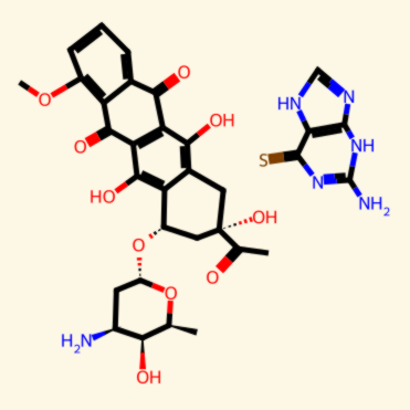 COc1cccc2c1C(=O)c1c(O)c3c(c(O)c1C2=O)C[C@@](O)(C(C)=O)C[C@@H]3O[C@H]1C[C@H](N)[C@H](O)[C@H](C)O1.Nc1nc(=S)c2[nH]cnc2[nH]1